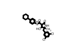 CC1(Cc2cc(Cl)cc(Cl)c2)NC(=O)C(C(=O)Nc2ccc(C3CCCCC3)cc2)=C1O